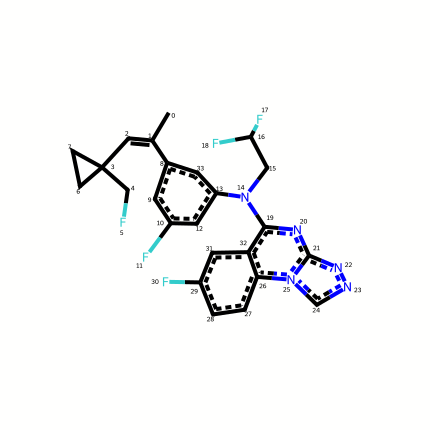 C/C(=C/C1(CF)CC1)c1cc(F)cc(N(CC(F)F)c2nc3nncn3c3ccc(F)cc23)c1